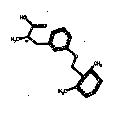 Cc1cccc(C)c1COc1cccc(C[C@@H](C)C(=O)O)c1